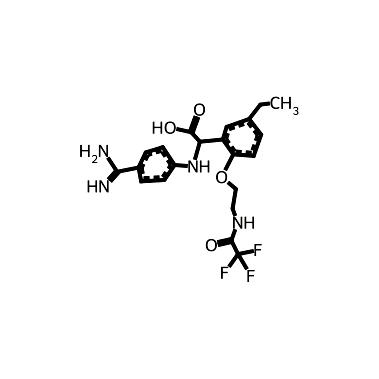 CCc1ccc(OCCNC(=O)C(F)(F)F)c(C(Nc2ccc(C(=N)N)cc2)C(=O)O)c1